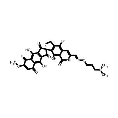 COC1=CC(=O)c2c(O)c3c(c(O)c2C1=O)C(=O)[C@]1(CCc2c1c(O)c1c(=O)[nH]c(/C=N/OCCCN(C)C)cc1c2Br)C3=O